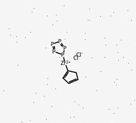 C1=CC[C]([Zr+2][p]2pppp2)=C1.[Cl-].[Cl-]